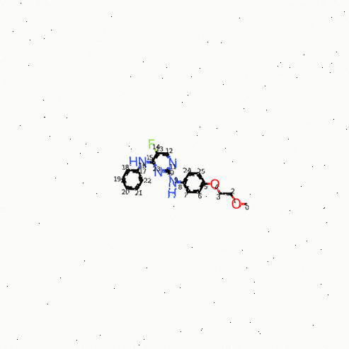 COCCOc1ccc(Nc2ncc(F)c(Nc3c[c]ccc3)n2)cc1